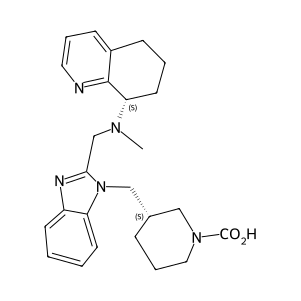 CN(Cc1nc2ccccc2n1C[C@H]1CCCN(C(=O)O)C1)[C@H]1CCCc2cccnc21